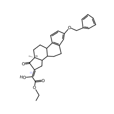 CCOC(=O)/C(O)=C1\CC2C3CCc4cc(OCc5ccccc5)ccc4C3CC[C@]2(C)C1=O